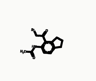 CC(=O)Nc1ccc2c(c1C(=O)CBr)CCC2